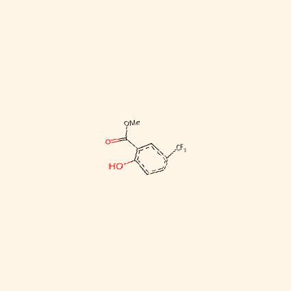 COC(=O)c1cc(C(F)(F)F)ccc1O